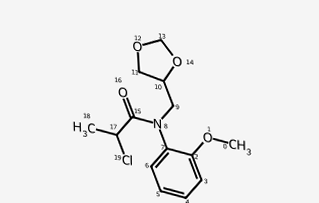 COc1ccccc1N(CC1COCO1)C(=O)C(C)Cl